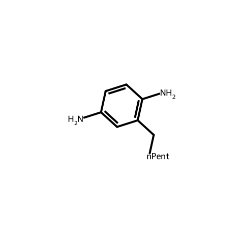 CCCCCCc1cc(N)ccc1N